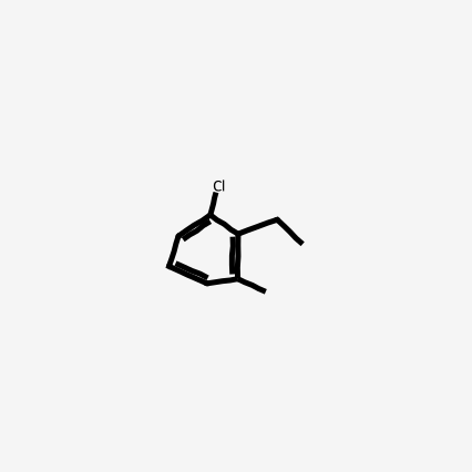 CCc1c(C)cccc1Cl